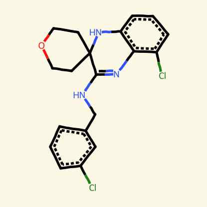 Clc1cccc(CNC2=Nc3c(Cl)cccc3NC23CCOCC3)c1